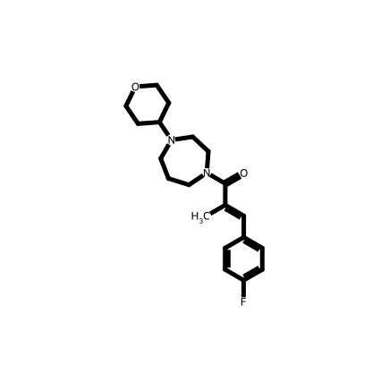 C/C(=C\c1ccc(F)cc1)C(=O)N1CCCN(C2CCOCC2)CC1